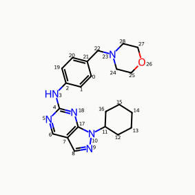 c1cc(Nc2ncc3cnn(C4CCCCC4)c3n2)ccc1CN1CCOCC1